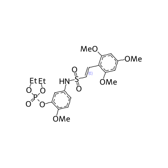 CCOP(=O)(OCC)Oc1cc(NS(=O)(=O)/C=C/c2c(OC)cc(OC)cc2OC)ccc1OC